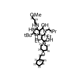 CC[C@@H](C[C@@H](CC)N(CC(C)C)C(O)C1CN[C@@H](C(C)(C)C)NC1NCCCOC)C(O)N1CCC(OCC2CCCCC2)CC1